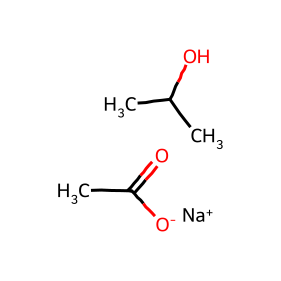 CC(=O)[O-].CC(C)O.[Na+]